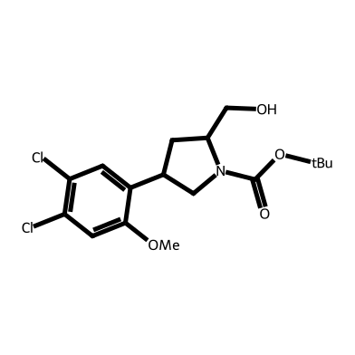 COc1cc(Cl)c(Cl)cc1C1CC(CO)N(C(=O)OC(C)(C)C)C1